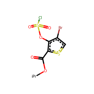 CC(C)OC(=O)c1scc(Br)c1OS(=O)(=O)Cl